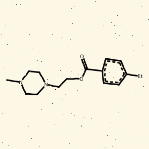 CCc1ccc(C(=O)OCCN2CCN(C)CC2)cc1